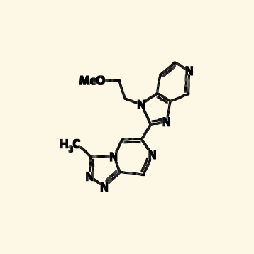 COCCn1c(-c2cn3c(C)nnc3cn2)nc2cnccc21